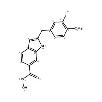 COc1ccc(Cc2cc3ccc(C(=O)NO)cc3[nH]2)cc1F